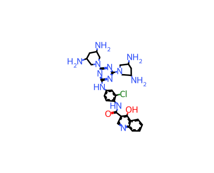 NC1CC(N)CN(c2nc(Nc3ccc(NC(=O)c4cnc5ccccc5c4O)c(Cl)c3)nc(N3CC(N)CC(N)C3)n2)C1